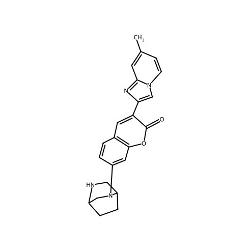 Cc1ccn2cc(-c3cc4ccc(N5CC6CCC5CN6)cc4oc3=O)nc2c1